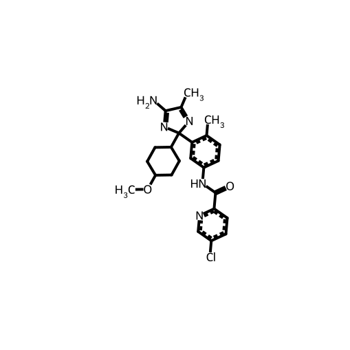 COC1CCC(C2(c3cc(NC(=O)c4ccc(Cl)cn4)ccc3C)N=C(C)C(N)=N2)CC1